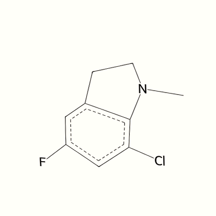 CN1CCc2cc(F)cc(Cl)c21